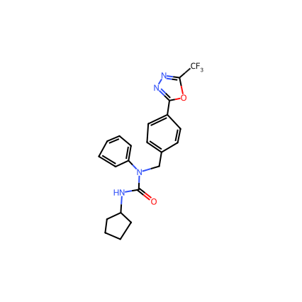 O=C(NC1CCCC1)N(Cc1ccc(-c2nnc(C(F)(F)F)o2)cc1)c1ccccc1